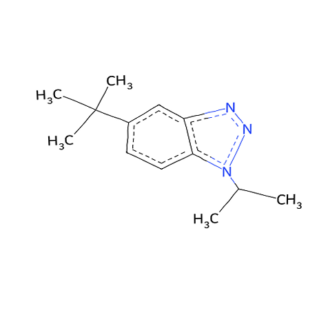 CC(C)n1nnc2cc(C(C)(C)C)ccc21